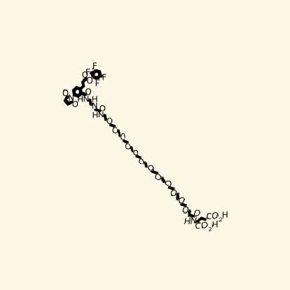 O=C(O)CCC(NC(=O)CCOCCOCCOCCOCCOCCOCCOCCOCCOCCOCCOCCOCCNC(=O)CNCCNC(=O)c1cc(N2C(=O)C=CC2=O)ccc1CCC(=O)Oc1c(F)c(F)cc(F)c1F)C(=O)O